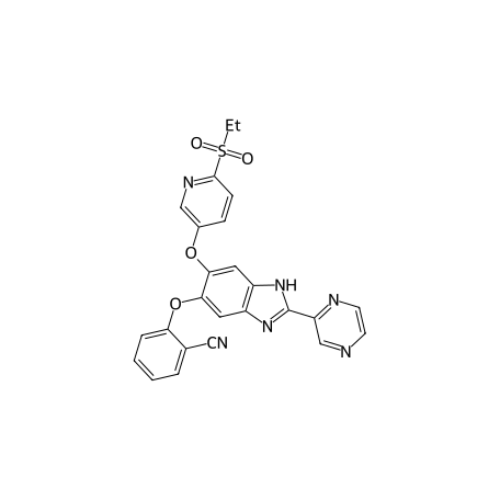 CCS(=O)(=O)c1ccc(Oc2cc3[nH]c(-c4cnccn4)nc3cc2Oc2ccccc2C#N)cn1